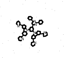 c1ccc(-c2cc(-c3cc(-n4c5ccc(-c6ccccn6)cc5c5cc(-c6ccccn6)ccc54)cc(-n4c5ccc(-c6ccccn6)cc5c5cc(-c6ccccn6)ccc54)c3)nc(-c3ccccc3)n2)cc1